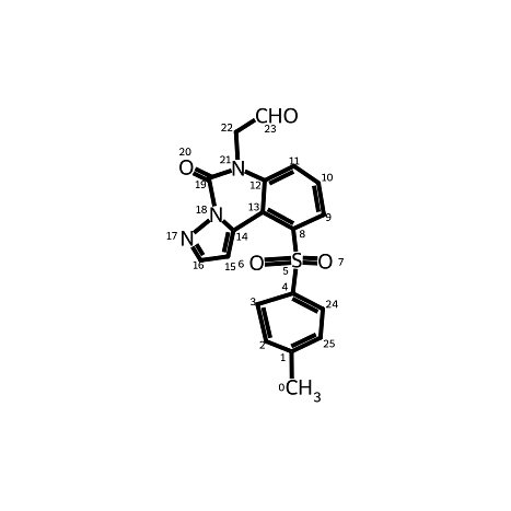 Cc1ccc(S(=O)(=O)c2cccc3c2c2ccnn2c(=O)n3CC=O)cc1